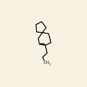 CCCC1=CCC2(CCCC2)CC1